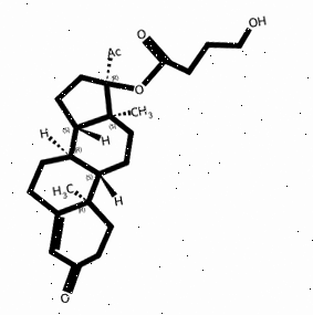 CC(=O)[C@@]1(OC(=O)CCCO)CC[C@H]2[C@@H]3CCC4=CC(=O)CC[C@]4(C)[C@H]3CC[C@@]21C